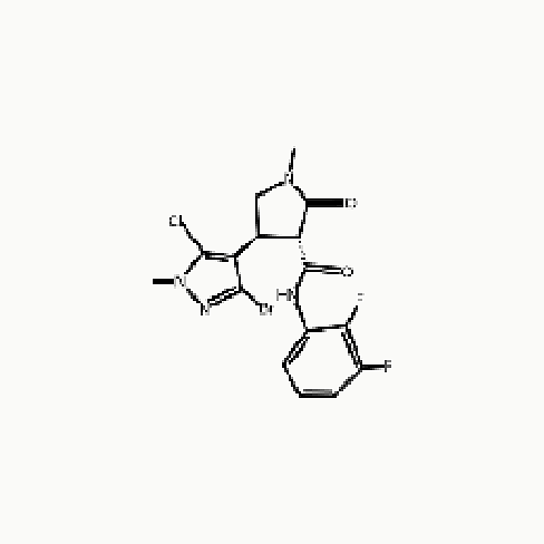 CN1C[C@H](c2c(Br)nn(C)c2Cl)[C@@H](C(=O)Nc2cccc(F)c2F)C1=O